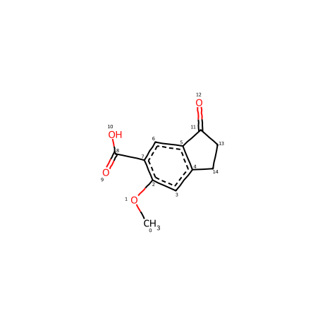 COc1cc2c(cc1C(=O)O)C(=O)CC2